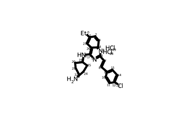 CCc1ccc2nc(C=Cc3ccc(Cl)cc3)nc(NC3CCC(N)CC3)c2c1.Cl.Cl